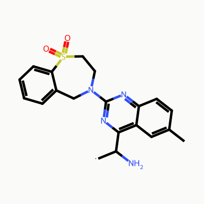 [CH2]C(N)c1nc(N2CCS(=O)(=O)c3ccccc3C2)nc2ccc(C)cc12